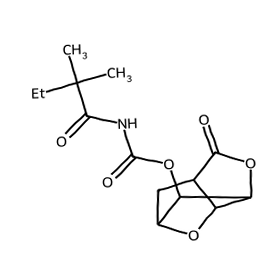 CCC(C)(C)C(=O)NC(=O)OC1C2CC3C(=O)OC1C3O2